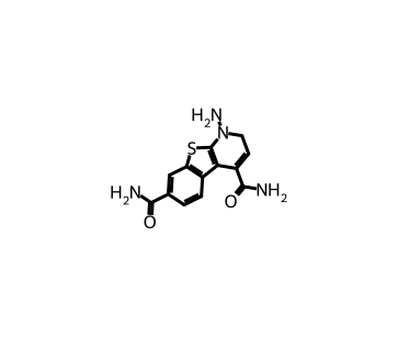 NC(=O)C1=CCN(N)c2sc3cc(C(N)=O)ccc3c21